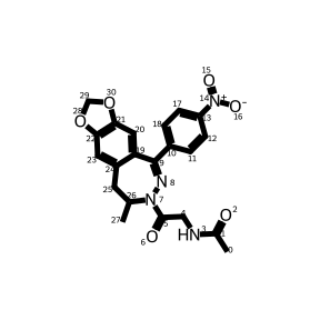 CC(=O)NCC(=O)N1N=C(c2ccc([N+](=O)[O-])cc2)c2cc3c(cc2CC1C)OCO3